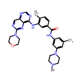 Cc1ccc(C(=O)Nc2cc(N3CCN(C(C)C)CC3)cc(C(F)(F)F)c2)cc1Nc1ncnc2cnc(N3CCOCC3)nc12